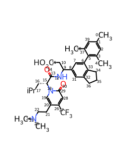 Cc1cc(C)c(-c2cc(C(CC(=O)O)NC(=O)[C@@H](CC(C)C)n3cc(CCN(C)C)c(C(F)(F)F)cc3=O)cc3c2CCC3)c(C)c1